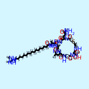 CNC(=NCCCCCCCCCCCCCCCCC(=O)NC(C)C(=O)NC1CNC(=O)C(CCC(N)=O)NC(=O)CS/C=C\NC(=O)C(CO)NC(=O)CNC(=O)C(CC(C)C)NC1=O)NC